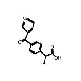 C[C@H](C(=O)O)c1ccc(C(=O)c2cccnc2)cc1